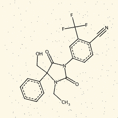 CCN1C(=O)N(c2ccc(C#N)c(C(F)(F)F)c2)C(=O)C1(CO)c1ccccc1